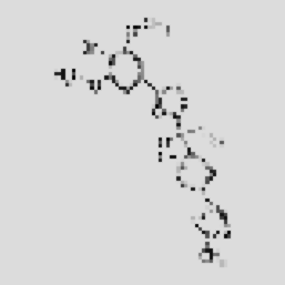 COc1cc(-c2ccc(C(C=O)(OC)c3ccc(-c4csc(C)n4)cc3)o2)cc(OC)c1Br